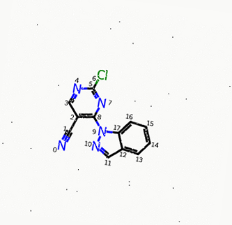 N#Cc1cnc(Cl)nc1-n1ncc2ccccc21